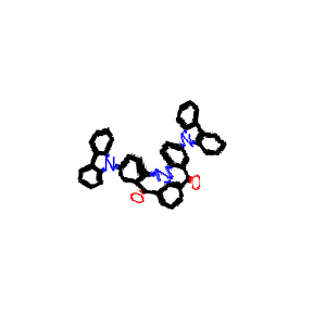 O=c1c2cc(-n3c4c(c5ccccc53)CCC=C4)ccc2n2c3ccc(-n4c5ccccc5c5ccccc54)cc3c(=O)c3cccc1c32